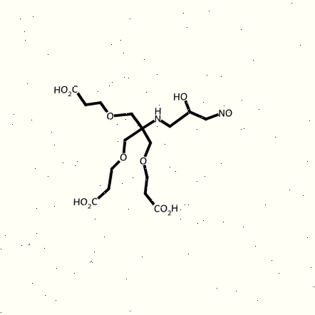 O=NCC(O)CNC(COCCC(=O)O)(COCCC(=O)O)COCCC(=O)O